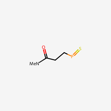 CNC(=O)CCP=S